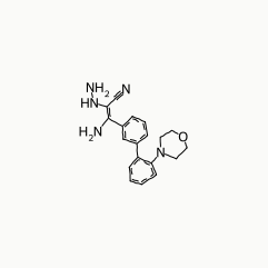 N#C/C(NN)=C(/N)c1cccc(-c2ccccc2N2CCOCC2)c1